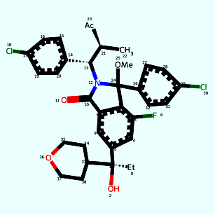 CC[C@@](O)(c1cc(F)c2c(c1)C(=O)N([C@H](c1ccc(Cl)cc1)[C@H](C)C(C)=O)C2(OC)c1ccc(Cl)cc1)C1CCOCC1